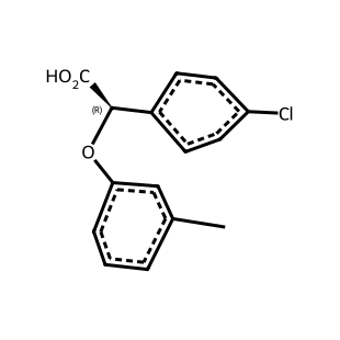 Cc1cccc(O[C@@H](C(=O)O)c2ccc(Cl)cc2)c1